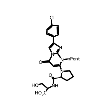 CCCCCn1c(N2CCC[C@H]2C(=O)NC(CO)C(=O)O)cc(=O)n2cc(-c3ccc(Cl)cc3)nc12